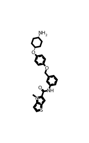 Cn1c(C(=O)Nc2cccc(COc3ccc(O[C@H]4CC[C@@H](N)CC4)cc3)c2)cc2sccc21